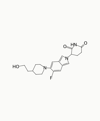 O=C1CCC(n2cc3cc(F)c(N4CCC(CCO)CC4)cc3c2)C(=O)N1